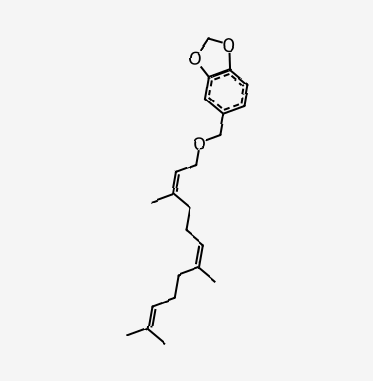 CC(C)=CCCC(C)=CCCC(C)=CCOCc1ccc2c(c1)OCO2